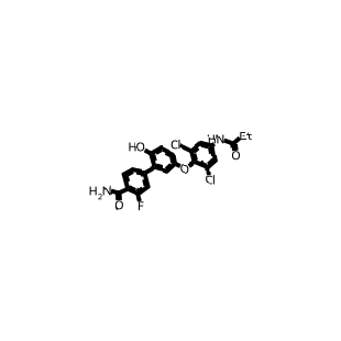 CCC(=O)Nc1cc(Cl)c(Oc2ccc(O)c(-c3ccc(C(N)=O)c(F)c3)c2)c(Cl)c1